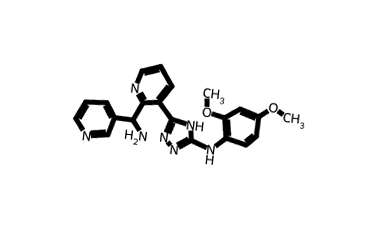 COc1ccc(Nc2nnc(-c3cccnc3C(N)c3cccnc3)[nH]2)c(OC)c1